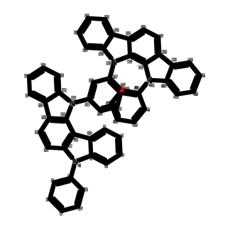 c1ccc(-n2c3ccccc3c3c2ccc2c4ccccc4n(-c4cccc(-n5c6ccccc6c6ccc7c8ccccc8n(-c8ccccc8)c7c65)c4)c23)cc1